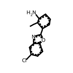 Cc1c(N)cccc1-c1nc2cc(Cl)ccc2o1